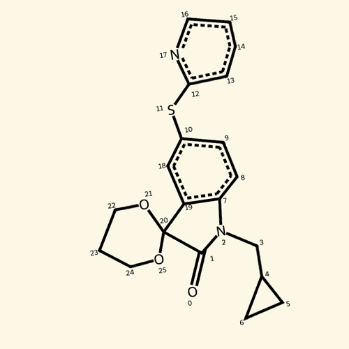 O=C1N(CC2CC2)c2ccc(Sc3ccccn3)cc2C12OCCCO2